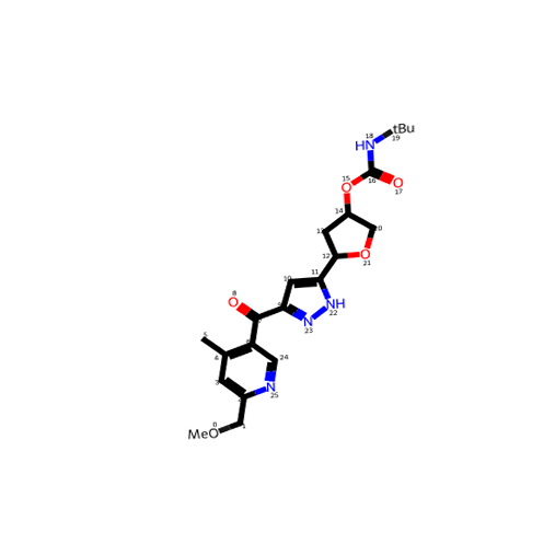 COCc1cc(C)c(C(=O)c2cc(C3CC(OC(=O)NC(C)(C)C)CO3)[nH]n2)cn1